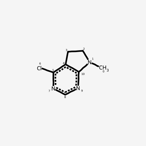 CN1CCc2c(Cl)ncnc21